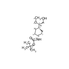 CO[C@@H](CO)[C@H]1CC[C@H](NC(=O)OC(C)(C)C)CC1